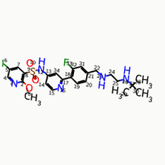 COc1ncc(Cl)cc1S(=O)(=O)Nc1ccnc(-c2ccc(CNCCNC(C)(C)C)cc2F)c1